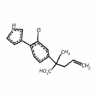 C=CCC(C)(C(=O)O)c1ccc(-c2cc[nH]c2)c(Cl)c1